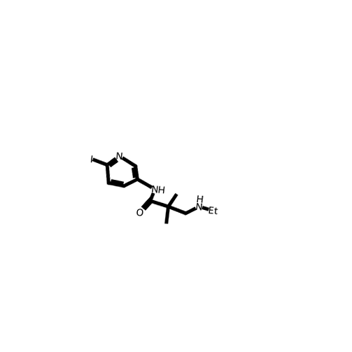 CCNCC(C)(C)C(=O)Nc1ccc(I)nc1